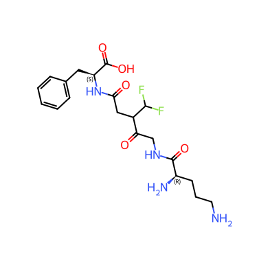 NCCC[C@@H](N)C(=O)NCC(=O)C(CC(=O)N[C@@H](Cc1ccccc1)C(=O)O)C(F)F